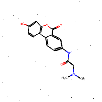 CN(C)CC(=O)Nc1ccc2c(c1)c(=O)oc1cc(O)ccc12